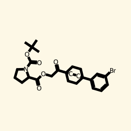 CC(C)(C)OC(=O)N1CCCC1C(=O)OCC(=O)C12CCC(c3cccc(Br)c3)(CC1)CC2